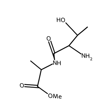 COC(=O)C(C)NC(=O)C(N)C(C)O